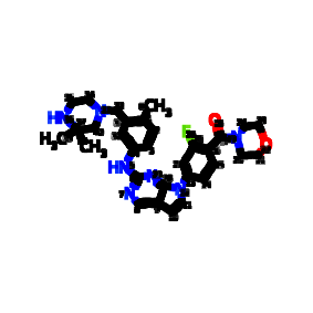 Cc1ccc(Nc2ncc3ccn(-c4ccc(C(=O)N5CCOCC5)c(F)c4)c3n2)cc1CN1CCNC(C)(C)C1